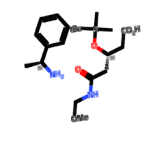 COCNC(=O)C[C@@H](CC(=O)O)O[Si](C)(C)C(C)(C)C.C[C@H](N)c1ccccc1